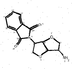 NC1COC2C1OCC2N1C(=O)c2ccccc2C1=O